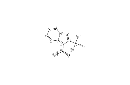 [2H]C([2H])([2H])c1cn2ccccc2c1C(N)=O